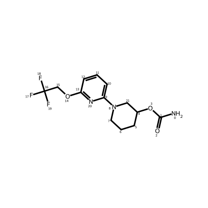 NC(=O)OC1CCCN(c2cccc(OCC(F)(F)F)n2)C1